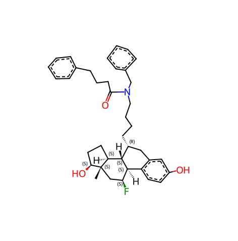 C[C@]12C[C@H](F)[C@@H]3c4ccc(O)cc4C[C@@H](CCCCN(Cc4ccccc4)C(=O)CCCc4ccccc4)[C@H]3[C@@H]1CC[C@@H]2O